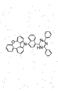 c1ccc(C2=NC(c3ccc(-n4c5cccc6oc7ccccc7c7cccc4c7c65)c4ccccc34)NC(c3ccccc3)=N2)cc1